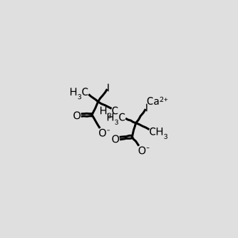 CC(C)(I)C(=O)[O-].CC(C)(I)C(=O)[O-].[Ca+2]